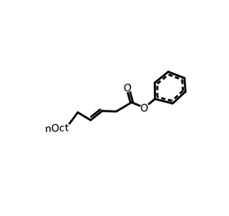 CCCCCCCCCC=CCC(=O)Oc1ccccc1